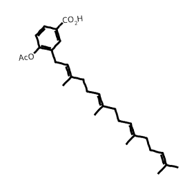 CC(=O)Oc1ccc(C(=O)O)cc1C/C=C(\C)CC/C=C(\C)CC/C=C(\C)CCC=C(C)C